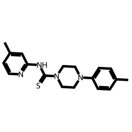 Cc1ccc(N2CCN(C(=S)Nc3cc(C)ccn3)CC2)cc1